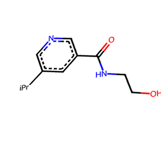 CC(C)c1cncc(C(=O)NCCO)c1